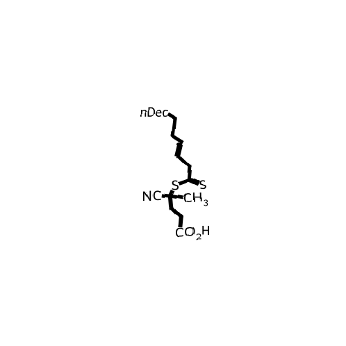 CCCCCCCCCCCCC=CCC(=S)SC(C)(C#N)CCC(=O)O